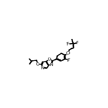 CC(C)COc1cc2oc(C3=CC(F)=C(OCCC(C)(F)F)CC3)nc2cn1